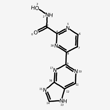 O=C(NO)c1nccc(-c2ncc3[nH]cnc3n2)n1